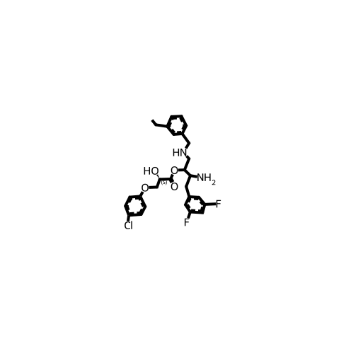 CCc1cccc(CNCC(OC(=O)[C@@H](O)COc2ccc(Cl)cc2)C(N)Cc2cc(F)cc(F)c2)c1